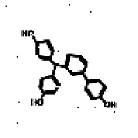 Oc1ccc(-c2cccc(C(c3ccc(O)cc3)c3ccc(O)cc3)c2)cc1